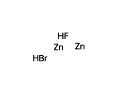 Br.F.[Zn].[Zn]